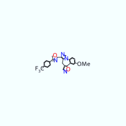 COc1ccc2c(c1)-c1oncc1Cc1c(C3=N[C@@H](c4ccc(C(F)(F)F)cc4)CO3)ncn1-2